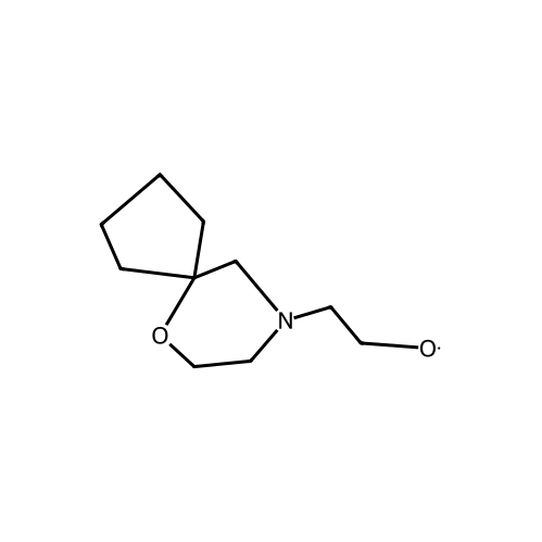 [O]CCN1CCOC2(CCCC2)C1